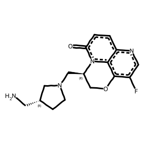 NC[C@H]1CCN(C[C@@H]2COc3c(F)cnc4ccc(=O)n2c34)C1